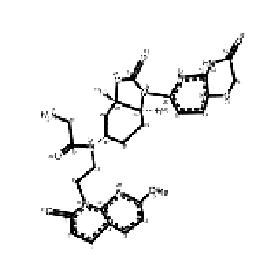 COc1ccc2ccc(=O)n(CCN(C(=O)CN)[C@H]3CC[C@H]4[C@H](C3)OC(=O)N4c3ccc4c(n3)NC(=O)CO4)c2n1